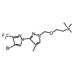 Cc1cn(COCC[Si](C)(C)C)nc1-n1cc(Br)c(C(F)(F)F)n1